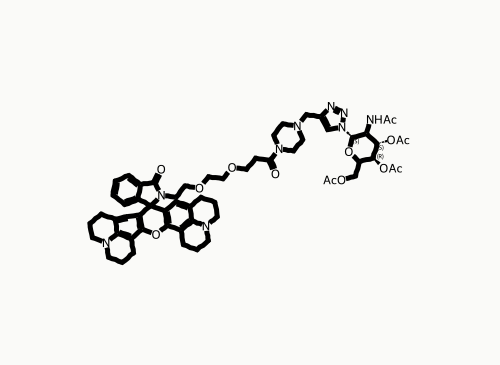 CC(=O)NC1[C@H](OC(C)=O)[C@@H](OC(C)=O)C(COC(C)=O)O[C@@H]1n1cc(CN2CCN(C(=O)CCOCCOCCN3C(=O)c4ccccc4C34c3cc5c6c(c3Oc3c4cc4c7c3CCCN7CCC4)CCCN6CCC5)CC2)nn1